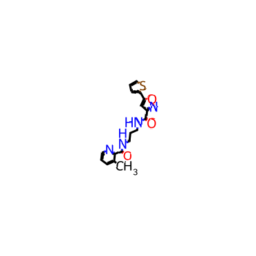 Cc1cccnc1C(=O)NCCCNC(=O)c1cc(-c2cccs2)on1